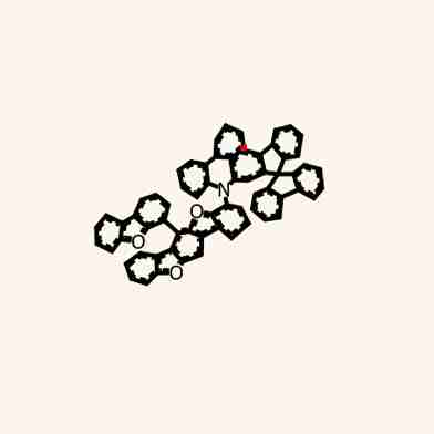 c1ccc(-c2ccccc2N(c2ccc3c(c2)C2(c4ccccc4-c4ccccc42)c2ccccc2-3)c2cccc3c2oc2c(-c4cccc5c4oc4ccccc45)c4c(cc23)oc2ccccc24)cc1